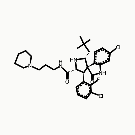 CC(C)(C)C[C@H]1N[C@@H](C(=O)NCCCN2CCCCC2)[C@H](c2cccc(Cl)c2F)[C@@]12C(=O)Nc1cc(Cl)ccc12